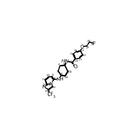 O=C(NC1CCC(Nc2cccc3nc(C(F)(F)F)cn23)CC1)c1ccc(OCCF)cc1